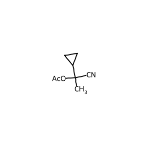 CC(=O)OC(C)(C#N)C1CC1